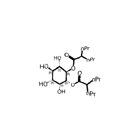 CCCC(CCC)C(=O)O[C@@H]1[C@H](O)[C@H](O)[C@@H](O)[C@H](O)[C@H]1OC(=O)C(CCC)CCC